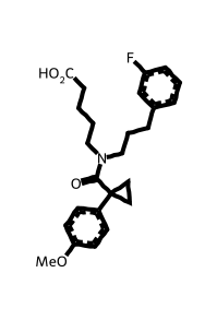 COc1ccc(C2(C(=O)N(CCCCC(=O)O)CCCc3cccc(F)c3)CC2)cc1